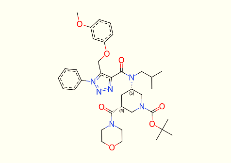 COc1cccc(OCc2c(C(=O)N(CC(C)C)[C@H]3C[C@@H](C(=O)N4CCOCC4)CN(C(=O)OC(C)(C)C)C3)nnn2-c2ccccc2)c1